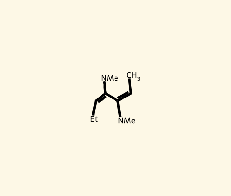 C/C=C(NC)\C(=C/CC)NC